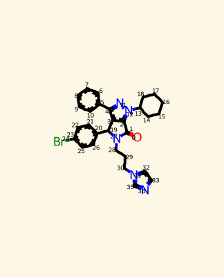 O=C1c2c(c(-c3ccccc3)nn2C2CCCCC2)C(c2ccc(Br)cc2)N1CCCn1ccnc1